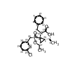 C=C[C@@H]1C[C@]1(N(Cc1ccccc1)C(=O)O)[P@](=O)(Cc1cccc(Cl)n1)OCC